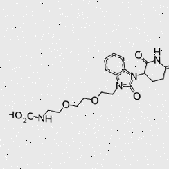 O=C(O)NCCOCCOCCn1c(=O)n(C2CCC(=O)NC2=O)c2ccccc21